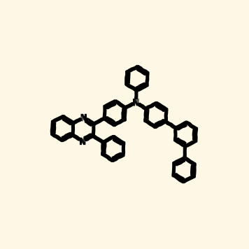 c1ccc(-c2cccc(-c3ccc(N(c4ccccc4)c4ccc(-c5nc6ccccc6nc5-c5ccccc5)cc4)cc3)c2)cc1